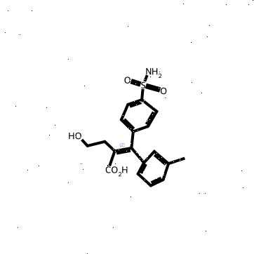 Cc1cccc(/C(=C(/CCO)C(=O)O)c2ccc(S(N)(=O)=O)cc2)c1